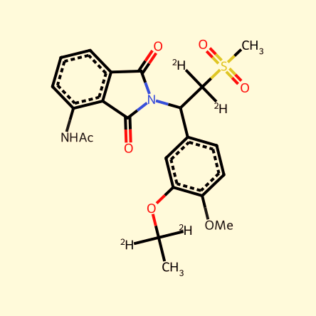 [2H]C([2H])(C)Oc1cc(C(N2C(=O)c3cccc(NC(C)=O)c3C2=O)C([2H])([2H])S(C)(=O)=O)ccc1OC